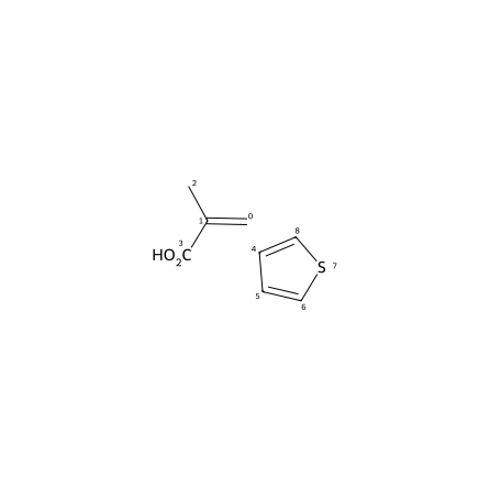 C=C(C)C(=O)O.c1ccsc1